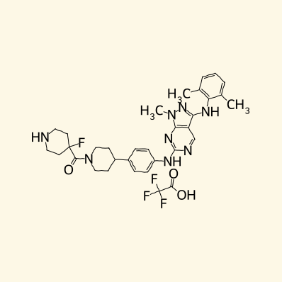 Cc1cccc(C)c1Nc1nn(C)c2nc(Nc3ccc(C4CCN(C(=O)C5(F)CCNCC5)CC4)cc3)ncc12.O=C(O)C(F)(F)F